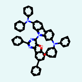 c1ccc(-c2ccc3oc4c(-n5c6cc(N(c7ccccc7)c7ccccc7)ccc6c6ccc(N(c7ccccc7)c7ccccc7)cc65)nc(-c5ccccc5)nc4c3c2)cc1